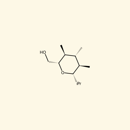 CC(C)[C@@H]1O[C@H](CO)[C@@H](C)[C@H](C)[C@H]1C